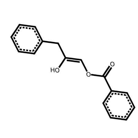 O=C(OC=C(O)Cc1ccccc1)c1ccccc1